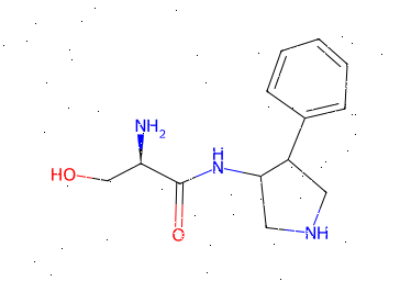 N[C@H](CO)C(=O)NC1CNCC1c1ccccc1